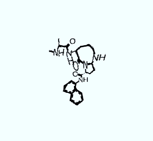 CN[C@@H](C)C(=O)N[C@H]1CCCNC2CC[C@H](C(=O)Nc3cccc4ccccc34)N2C1=O